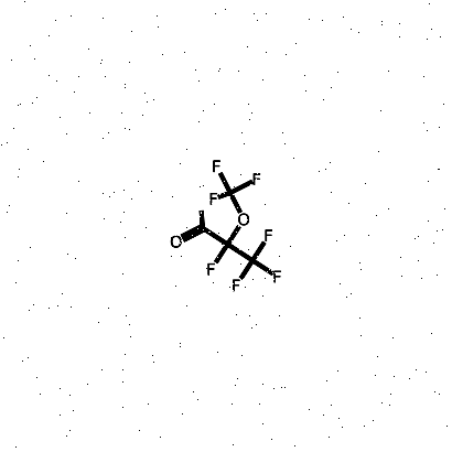 CC(=O)C(F)(OC(F)(F)F)C(F)(F)F